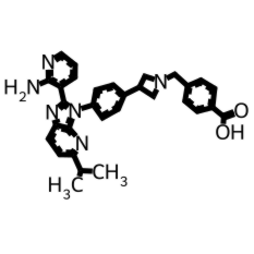 CC(C)c1ccc2nc(-c3cccnc3N)n(-c3ccc(C4CN(Cc5ccc(C(=O)O)cc5)C4)cc3)c2n1